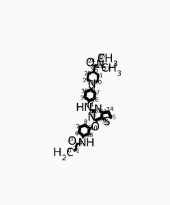 C=CC(=O)Nc1cccc(Oc2nc(Nc3ccc(N4CCC(C(=O)N(C)C)CC4)cc3)nc3ccsc23)c1